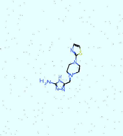 Nc1nnc(CN2CCN(c3nccs3)CC2)[nH]1